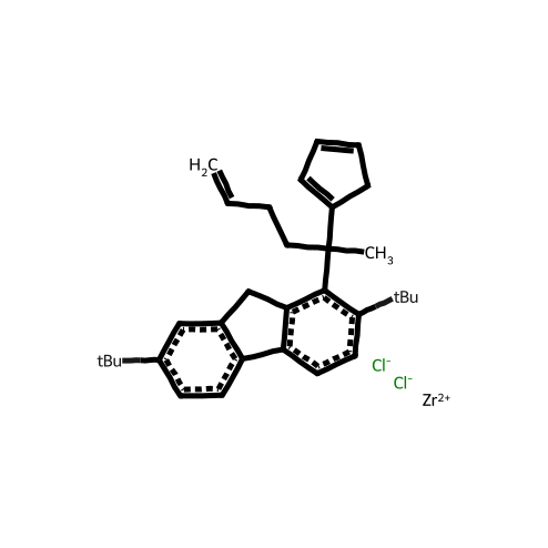 C=CCCC(C)(C1=CC=CC1)c1c(C(C)(C)C)ccc2c1Cc1cc(C(C)(C)C)ccc1-2.[Cl-].[Cl-].[Zr+2]